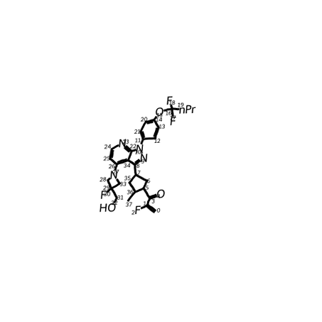 C=C(F)C(=O)C1CC(c2nn(-c3ccc(OC(F)(F)CCC)cc3)c3nccc(N4CC(F)(CO)C4)c23)CC1C